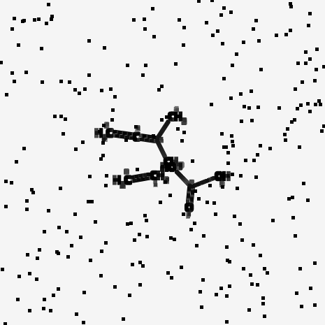 C=C.C=C=C(C)C.O=C(O)O